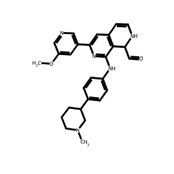 COc1cncc(-c2cc3c(c(Nc4ccc(C5CCCN(C)C5)cc4)n2)C(C=O)NC=C3)c1